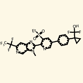 CCS(=O)(=O)c1cc(-c2ccc(C3(C(O)(F)F)CC3)cc2)cnc1-c1nc2cc(C(F)(F)C(F)(F)F)ncc2n1C